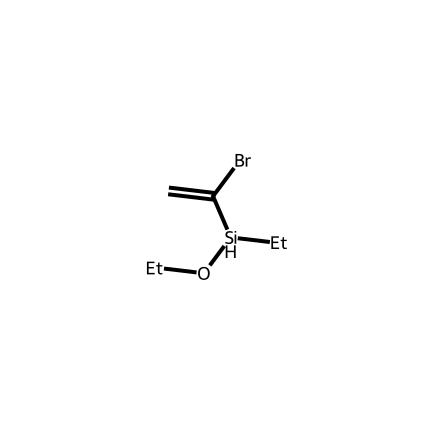 C=C(Br)[SiH](CC)OCC